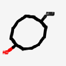 O=CC1CCCCCC(O)CCCCC1